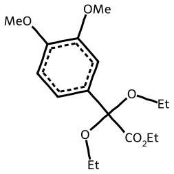 CCOC(=O)C(OCC)(OCC)c1ccc(OC)c(OC)c1